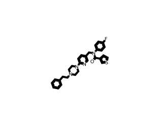 O=C(c1ccsc1)N(Cc1ccc(N2CCN(CCc3ccccc3)CC2)nc1)c1ccc(F)cc1